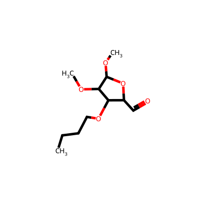 CCCCOC1C(C=O)OC(OC)C1OC